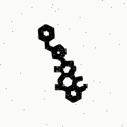 CN1C(=O)[C@@H](NC(=O)n2cc(Cc3ccccc3)cn2)CNc2cccc(F)c21